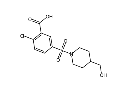 O=C(O)c1cc(S(=O)(=O)N2CCC(CO)CC2)ccc1Cl